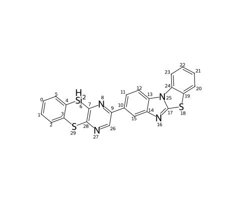 c1ccc2c(c1)[SiH2]c1nc(-c3ccc4c(c3)nc3sc5ccccc5n34)cnc1S2